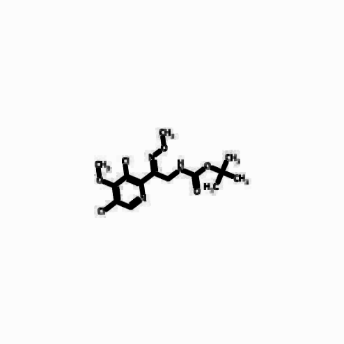 CON=C(CNC(=O)OC(C)(C)C)c1ncc(Cl)c(OC)c1Cl